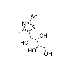 CC(=O)c1nc(C)c([C@@H](O)[C@H](O)[C@H](O)CO)s1